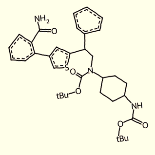 CC(C)(C)OC(=O)NC1CCC(N(CC(c2ccccc2)c2cc(-c3ccccc3C(N)=O)cs2)C(=O)OC(C)(C)C)CC1